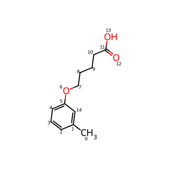 Cc1cccc(OCCCCC(=O)O)c1